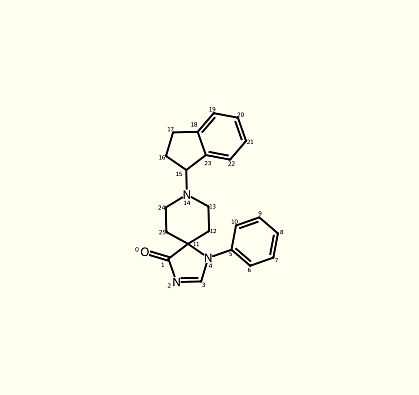 O=C1N=CN(c2ccccc2)C12CCN(C1CCc3ccccc31)CC2